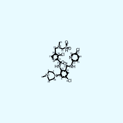 CN1CCN(c2cc(Cl)cc(C(=O)Nc3ccc(Cl)cn3)c2NC(=O)c2scc(CN(C)C[SH](=O)=O)c2Cl)CC1